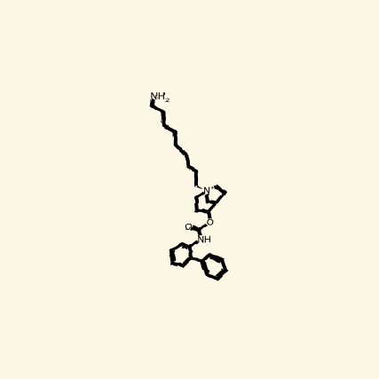 NCCCCCCCCC[N@+]12CCC(C1)C(OC(=O)Nc1ccccc1-c1ccccc1)CC2